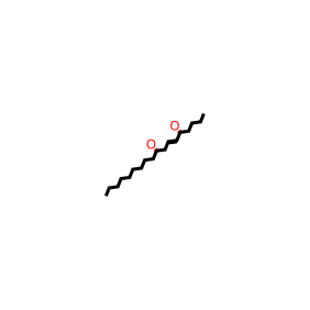 CCCCCCCCCC(=O)C/C=C/C(=O)CCCC